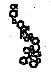 CC(Oc1ccc(CC2SC(=O)N(C(c3ccccc3)(c3ccccc3)c3ccccc3)C2=O)cc1)c1nc2ccc(Oc3ccc(C#N)cc3)cc2[nH]1